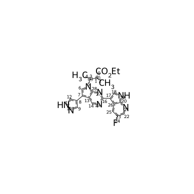 CCOC(=O)[C@H](C)[C@@H](C)n1cc(-c2cn[nH]c2)c2cnc(-c3c[nH]c4ncc(F)cc34)nc21